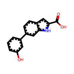 O=C(O)c1cc2ccc(-c3cccc(O)c3)cc2[nH]1